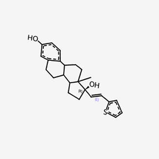 CC12CCC3c4ccc(O)cc4CCC3C1CC[C@@]2(O)/C=C/c1cccs1